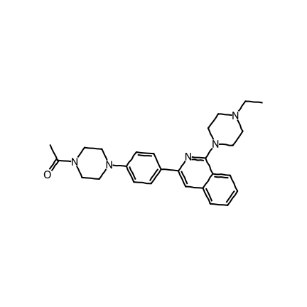 CCN1CCN(c2nc(-c3ccc(N4CCN(C(C)=O)CC4)cc3)cc3ccccc23)CC1